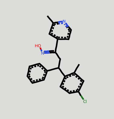 Cc1cc(C(CC(c2ccccc2)c2ccc(Cl)cc2C)=NO)ccn1